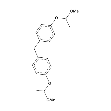 COC(C)Oc1ccc(Cc2ccc(OC(C)OC)cc2)cc1